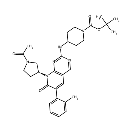 CC(=O)N1CC[C@H](n2c(=O)c(-c3ccccc3C)cc3cnc(NC4CCN(C(=O)OC(C)(C)C)CC4)nc32)C1